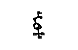 CCC(C)C(=O)OC1CC2CC1CC2C(O)(CC)CC